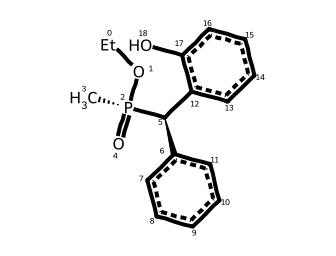 CCO[P@](C)(=O)[C@H](c1ccccc1)c1ccccc1O